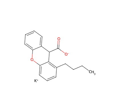 CCCCc1cccc2c1C(C(=O)[O-])c1ccccc1O2.[K+]